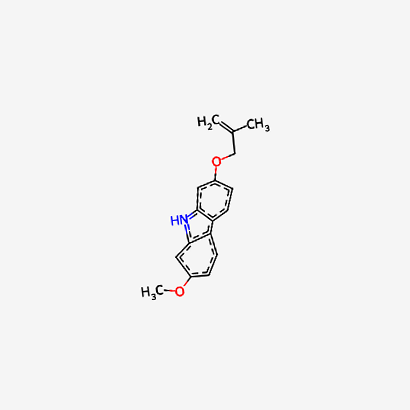 C=C(C)COc1ccc2c(c1)[nH]c1cc(OC)ccc12